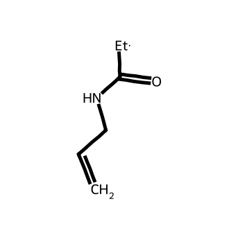 C=CCNC(=O)[CH]C